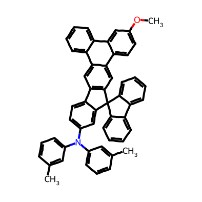 COc1ccc2c(c1)c1ccccc1c1cc3c(cc21)C1(c2ccccc2-c2ccccc21)c1cc(N(c2cccc(C)c2)c2cccc(C)c2)ccc1-3